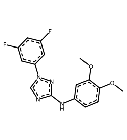 COc1ccc(Nc2ncn(-c3cc(F)cc(F)c3)n2)cc1OC